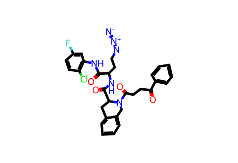 [N-]=[N+]=NCCC(NC(=O)C1Cc2ccccc2CN1C(=O)CCC(=O)c1ccccc1)C(=O)Nc1cc(F)ccc1Cl